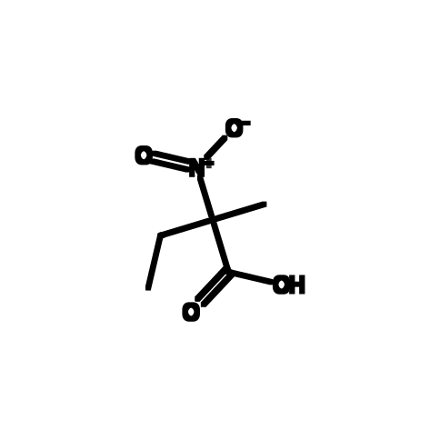 CCC(C)(C(=O)O)[N+](=O)[O-]